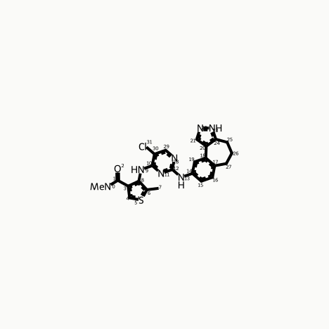 CNC(=O)c1csc(C)c1Nc1nc(Nc2ccc3c(c2)-c2cn[nH]c2CCC3)ncc1Cl